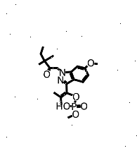 CCC(C)(C)C(=O)Cn1nc(C(OP(=O)(O)OC)=C(C)C)c2ccc(OC)cc21